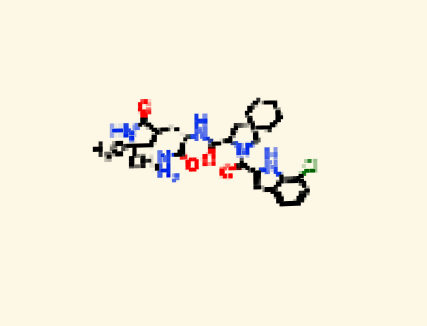 CC1(C)CC(C[C@H](NC(=O)C2CC3(CCCCC3)CN2C(=O)c2cc3cccc(Cl)c3[nH]2)C(N)=O)C(=O)N1